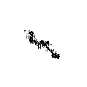 C=CC(=O)NC(CCCCNC(=O)CCC1=[N+]2B(F)n3c(C)cc(C)c3C=C2C=C1)C(=O)Nc1cccc(Nc2ncc(NC(=O)c3cc(NC(=O)c4cccc(C(F)(F)F)c4)ccc3C)cn2)c1